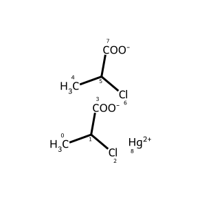 CC(Cl)C(=O)[O-].CC(Cl)C(=O)[O-].[Hg+2]